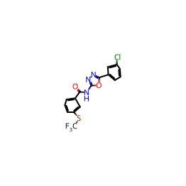 O=C(Nc1nnc(-c2cccc(Cl)c2)o1)c1cccc(SC(F)(F)F)c1